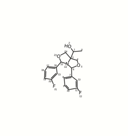 CC(O)C12COC(c3cccc(F)c3)N1C(c1cccc(F)c1)OC2